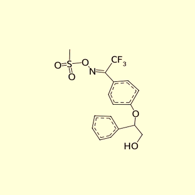 CS(=O)(=O)ON=C(c1ccc(OC(CO)c2ccccc2)cc1)C(F)(F)F